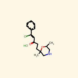 CC1CNCC(C)(CCC(=O)C=C(Cl)c2ccccc2)O1.Cl